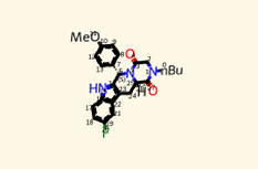 CCCCN1CC(=O)N2[C@@H](c3ccc(OC)cc3)c3[nH]c4ccc(F)cc4c3C[C@H]2C1=O